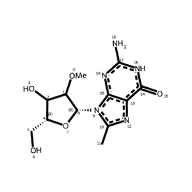 COC1C(O)[C@@H](CO)O[C@H]1n1c(C)nc2c(=O)[nH]c(N)nc21